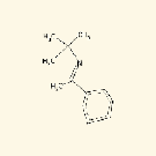 C/C(=N\C(C)(C)C)c1ccccc1